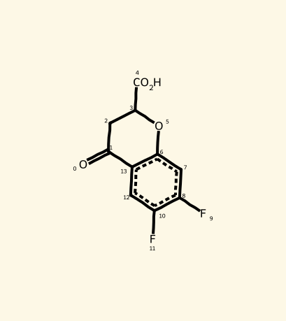 O=C1CC(C(=O)O)Oc2cc(F)c(F)cc21